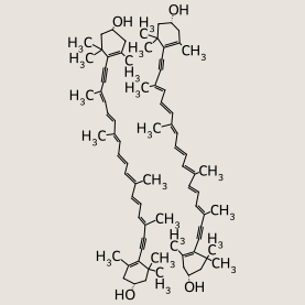 CC1=C(C#C/C(C)=C/C=C/C(C)=C/C=C/C=C(C)/C=C/C=C(\C)C#CC2=C(C)C[C@@H](O)CC2(C)C)C(C)(C)C[C@H](O)C1.CC1=C(C#C/C(C)=C/C=C/C(C)=C/C=C/C=C(C)/C=C/C=C(\C)C#CC2=C(C)C[C@@H](O)CC2(C)C)C(C)(C)C[C@H](O)C1